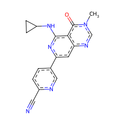 Cn1cnc2cc(-c3ccc(C#N)nc3)nc(NC3CC3)c2c1=O